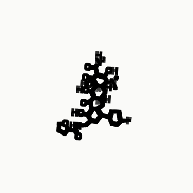 CN(C)[C@@H]1C(O)=C(C(N)=O)C(=O)[C@@]2(O)C(O)=C3C(=O)c4c(O)c(CNC(=O)C5CCCO5)cc(-c5ccc(F)cc5)c4C[C@@H]3C[C@@H]12